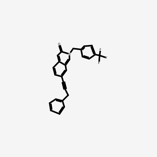 O=c1cc2ccc(C#CCc3ccccc3)cc2cn1Cc1ccc(C(F)(F)F)cc1